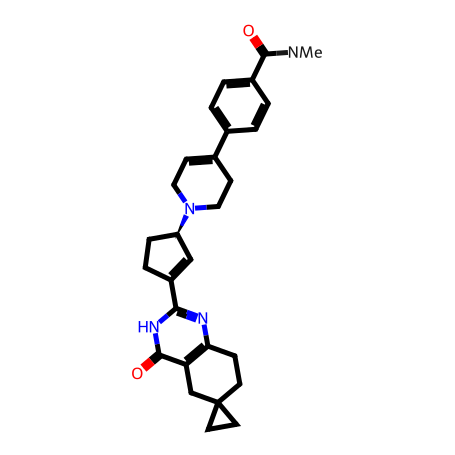 CNC(=O)c1ccc(C2=CCN([C@H]3C=C(c4nc5c(c(=O)[nH]4)CC4(CC5)CC4)CC3)CC2)cc1